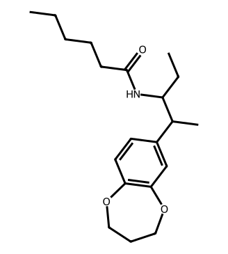 CCCCCC(=O)NC(CC)C(C)c1ccc2c(c1)OCCCO2